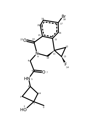 CC1(O)CC(NC(=O)CN2C[C@]3(C[C@H]3F)c3cc(Br)ccc3C2=O)C1